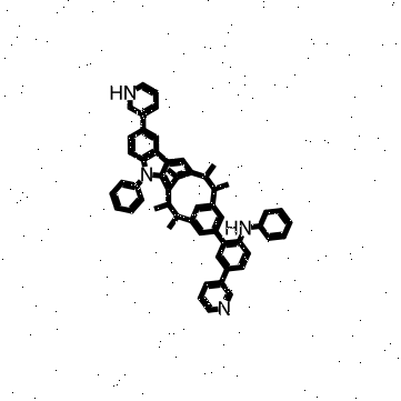 Cc1c2cc3c4cc(C5=CC=CNC5)ccc4n(-c4ccccc4)c3c1C(C)C(C)c1cc(-c3cc(-c4cccnc4)ccc3NC3C=CC=CC3)cc(c1)C(C)C2C